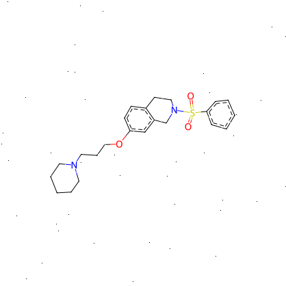 O=S(=O)(c1ccccc1)N1CCc2ccc(OCCCN3CCCCC3)cc2C1